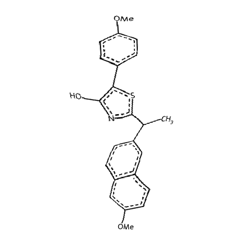 COc1ccc(-c2sc(C(C)c3ccc4cc(OC)ccc4c3)nc2O)cc1